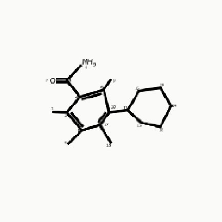 Cc1c(C)c(C(N)=O)c(C)c(C2CCCCC2)c1C